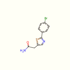 NC(=O)Cc1cnc(-c2ccc(Br)cc2)s1